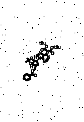 CC(C)(C)OC(=O)N(C(=O)OC(C)(C)C)c1ncnc2c1ncn2[C@@H]1C=C(COC(=O)c2ccccc2)[C@H]2OC(C)(C)O[C@H]21